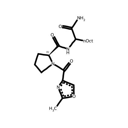 CCCCCCCCC(NC(=O)[C@@H]1CCCN1C(=O)c1coc(C)n1)C(N)=O